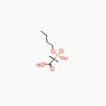 CCCCOP(=O)(O)C(C)(C)C(=O)O